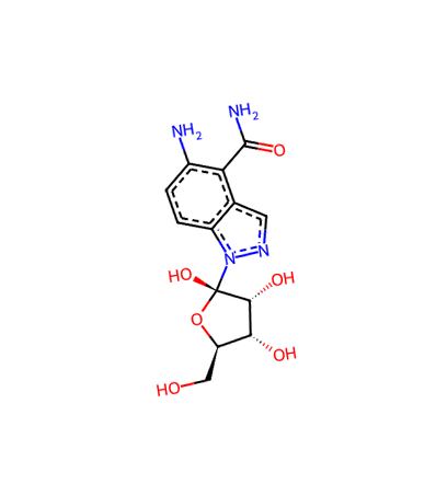 NC(=O)c1c(N)ccc2c1cnn2[C@@]1(O)O[C@H](CO)[C@@H](O)[C@H]1O